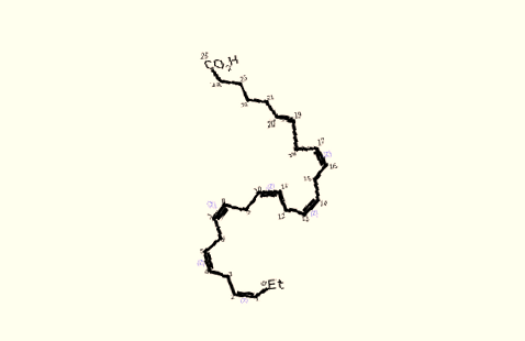 CC/C=C\C/C=C\C/C=C\C/C=C\C/C=C\C/C=C\CCCCCCCC(=O)O